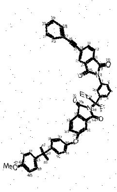 CCC(CC)(c1cccc(N2C(=O)c3ccc(C#Cc4ccccc4)cc3C2=O)c1)N1C(=O)c2ccc(Oc3ccc(C(C)(C)c4ccc(OC)cc4)cc3)cc2C1=O